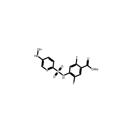 COC(=O)c1cc(F)c(NS(=O)(=O)c2ccc(BO)cn2)cc1F